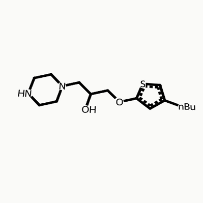 CCCCc1csc(OCC(O)CN2CCNCC2)c1